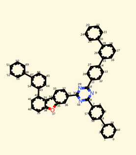 c1ccc(-c2ccc(-c3nc(-c4ccc(-c5cccc(-c6ccccc6)c5)cc4)nc(-c4ccc5c(c4)oc4cccc(-c6cccc(-c7ccccc7)c6)c45)n3)cc2)cc1